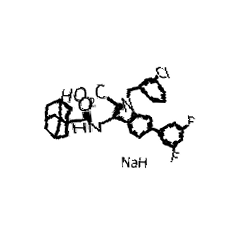 O=C(O)c1c(NC(=O)C23CC4CC(CC(C4)C2)C3)c2ccc(-c3cc(F)cc(F)c3)cc2n1Cc1cccc(Cl)c1.[NaH]